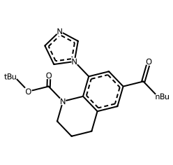 CCCCC(=O)c1cc2c(c(-n3ccnc3)c1)N(C(=O)OC(C)(C)C)CCC2